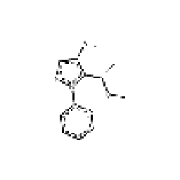 CO[C@@H](C)c1c(N)cnn1-c1ccccn1